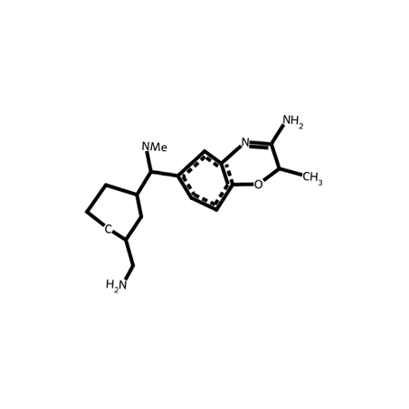 CNC(c1ccc2c(c1)N=C(N)C(C)O2)C1CCCC(CN)C1